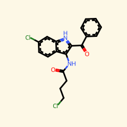 O=C(CCCCl)Nc1c(C(=O)c2ccccc2)[nH]c2cc(Cl)ccc12